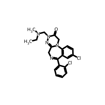 CCN(C)CN1N=C2CN=C(c3ccccc3Cl)c3cc(Cl)ccc3N2CC1=O